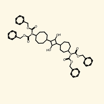 O=C(OCc1ccccc1)N(C(=O)OCc1ccccc1)C1CCCC(C2C(O)C(C3CCCC(N(C(=O)OCc4ccccc4)C(=O)OCc4ccccc4)CC3)C2O)CCC1